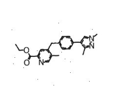 CCOC(=O)c1cc(Cc2ccc(-c3cn(C)nc3C)cc2)c(C)cn1